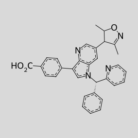 CC1=NOC(C)C1c1cnc2c(-c3ccc(C(=O)O)cc3)cn([C@@H](c3ccccc3)c3ccccn3)c2c1